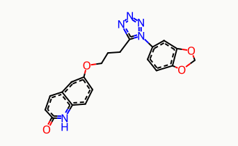 O=c1ccc2cc(OCCCc3nnnn3-c3ccc4c(c3)OCO4)ccc2[nH]1